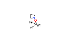 CC(C)[Si](ON1CCC1)(C(C)C)C(C)C